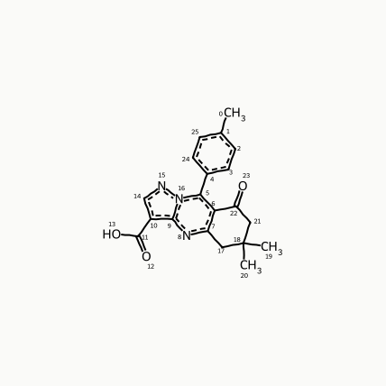 Cc1ccc(-c2c3c(nc4c(C(=O)O)cnn24)CC(C)(C)CC3=O)cc1